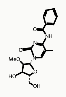 COC1C(O)[C@@H](CO)O[C@H]1n1cc(C)c(NC(=O)c2ccccc2)nc1=O